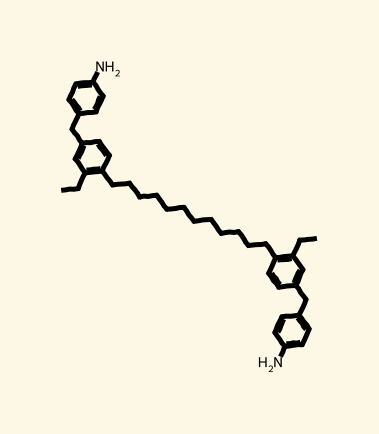 CCc1cc(Cc2ccc(N)cc2)ccc1CCCCCCCCCCCCc1ccc(Cc2ccc(N)cc2)cc1CC